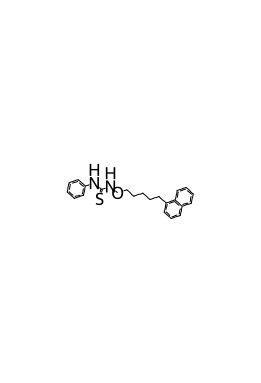 S=C(NOCCCCCc1cccc2ccccc12)Nc1ccccc1